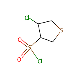 O=S(=O)(Cl)C1CSCC1Cl